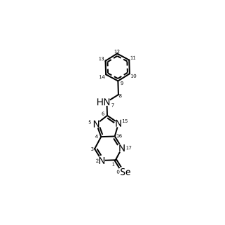 [Se]=C1N=CC2=NC(NCc3ccccc3)=NC2=N1